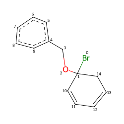 BrC1(OCc2ccccc2)C=CC=CC1